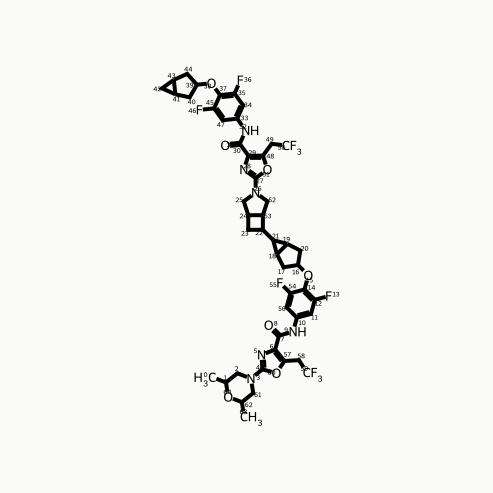 CC1CN(c2nc(C(=O)Nc3cc(F)c(OC4CC5C(C4)C5C4CC5CN(c6nc(C(=O)Nc7cc(F)c(OC8CC9CC9C8)c(F)c7)c(CC(F)(F)F)o6)CC54)c(F)c3)c(CC(F)(F)F)o2)CC(C)O1